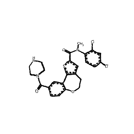 CN(C(=O)c1cc2c(s1)-c1cc(C(=O)N3CCNCC3)ccc1OCC2)c1ccc(Cl)cc1Cl